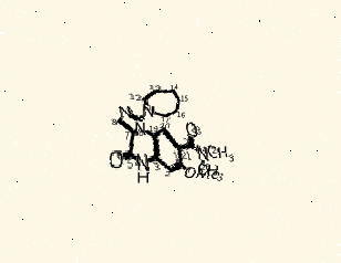 COc1cc2[nH]c(=O)c3cnc(N4CCCCCC4)n3c2cc1C(=O)N(C)C